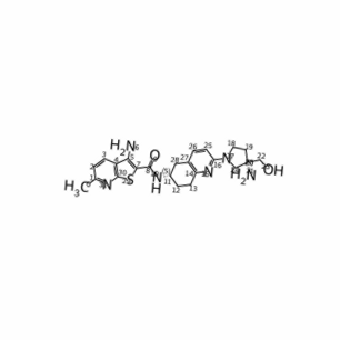 Cc1ccc2c(N)c(C(=O)N[C@H]3CCc4nc(N5CC[C@@](N)(CO)C5)ccc4C3)sc2n1